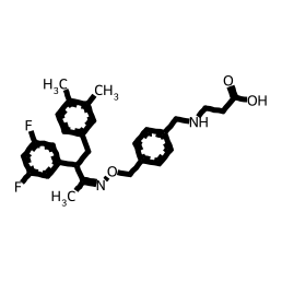 CC(=NOCc1ccc(CNCCC(=O)O)cc1)C(Cc1ccc(C)c(C)c1)c1cc(F)cc(F)c1